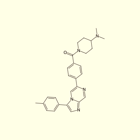 Cc1ccc(-c2cnc3cnc(-c4ccc(C(=O)N5CCC(N(C)C)CC5)cc4)cn23)cc1